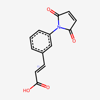 O=C(O)/C=C/c1cccc(N2C(=O)C=CC2=O)c1